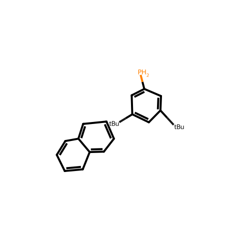 CC(C)(C)c1cc(P)cc(C(C)(C)C)c1.c1ccc2ccccc2c1